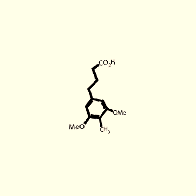 COc1cc(CCCC(=O)O)cc(OC)c1C